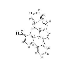 CC(=O)c1cccc(-c2ccccc2-c2ccccc2)c1Sc1ccccc1.S